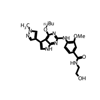 CC[C@H](C)Oc1nc(Nc2ccc(C(=O)NCCO)cc2OC)nc2[nH]cc(-c3cnn(C)c3)c12